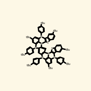 CC(C)(C)c1ccc(N2c3cc4c(cc3B3c5sc6ccc(C(C)(C)C)cc6c5N(c5ccc(C(C)(C)C)cc5)c5cc(C(C)(C)C)cc2c53)B2c3sc5ccc(C(C)(C)C)cc5c3N(c3ccc(C(C)(C)C)cc3)c3cc(C(C)(C)C)cc(c32)N4c2ccc(C(C)(C)C)cc2)cc1